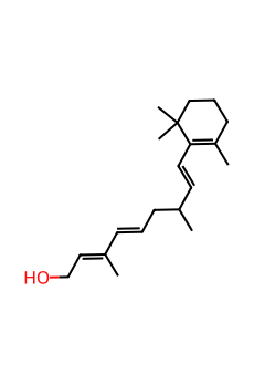 CC1=C(/C=C/C(C)C/C=C/C(C)=C/CO)C(C)(C)CCC1